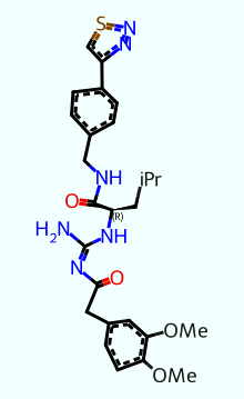 COc1ccc(CC(=O)N=C(N)N[C@H](CC(C)C)C(=O)NCc2ccc(-c3csnn3)cc2)cc1OC